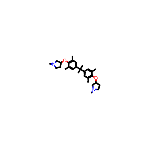 Cc1cc(C(C)(C)c2cc(C)c(OC3CCN(C)C3)c(C)c2)cc(C)c1OC1CCN(C)C1